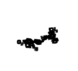 Cc1cc2c(NCCCc3ccc(-c4ccc([N+](=O)[O-])c(C)c4)cc3)nc(-c3ccoc3)nc2s1